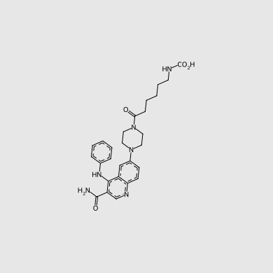 NC(=O)c1cnc2ccc(N3CCN(C(=O)CCCCCNC(=O)O)CC3)cc2c1Nc1ccccc1